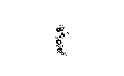 Cn1cc(S(=O)(=O)N2CCC(Nc3ncc(C#N)c(O[C@@H]4CCC[C@]4(C)O)n3)CC2)cn1